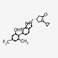 Cc1cc(C(F)(F)F)cc(O)c1-c1ccc2cn(C[C@@H]3CC(=O)N(C4CC4)C3)nc2n1